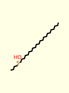 CCCCCCCCCCCCCCCCCCCCC(O)CSCCCC